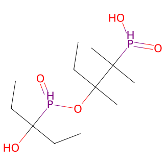 CCC(O)(CC)[PH](=O)OC(C)(CC)C(C)(C)[PH](=O)O